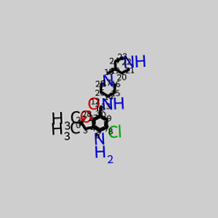 CC1(C)Cc2c(N)c(Cl)cc(C(=O)NC3CCN(CC4CCNCC4)CC3)c2O1